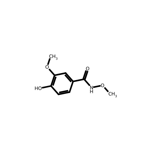 CONC(=O)c1ccc(O)c(OC)c1